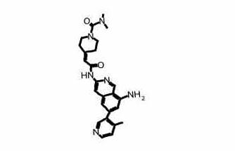 Cc1ccncc1-c1cc(N)c2cnc(NC(=O)C=C3CCN(C(=O)N(C)C)CC3)cc2c1